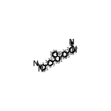 N#Cc1cc(-c2ccc(-c3ccc(-c4ccc(-c5ccnc(C#N)c5)cc4)c4ccccc34)cc2)ccn1